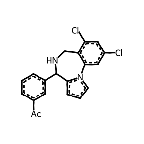 CC(=O)c1cccc(C2NCc3c(Cl)cc(Cl)cc3-n3cccc32)c1